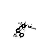 COCOc1ccc(Cc2c(C)cc(OCC(=O)OC)c(F)c2C)nc1C1CCCCC1